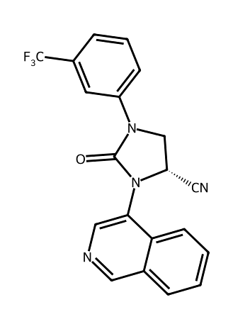 N#C[C@H]1CN(c2cccc(C(F)(F)F)c2)C(=O)N1c1cncc2ccccc12